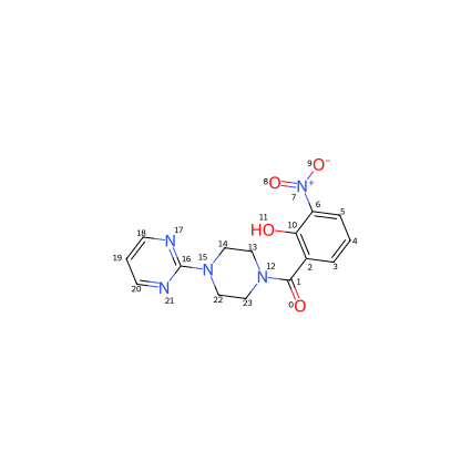 O=C(c1cccc([N+](=O)[O-])c1O)N1CCN(c2ncccn2)CC1